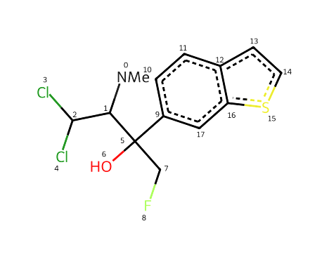 CNC(C(Cl)Cl)C(O)(CF)c1ccc2ccsc2c1